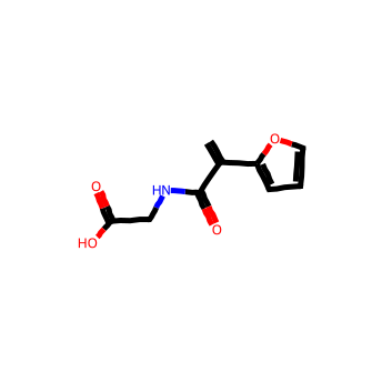 C=C(C(=O)NCC(=O)O)c1ccco1